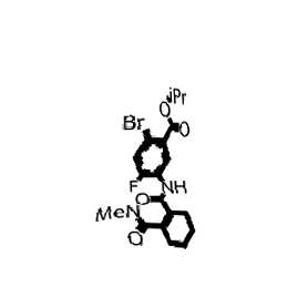 CNC(=O)C1=C(C(=O)Nc2cc(C(=O)OC(C)C)c(Br)cc2F)CCCC1